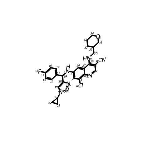 N#Cc1cnc2c(Cl)cc(NC(c3ccc(F)cc3)c3cn(C4CC4)nn3)cc2c1NCC1CCCOC1